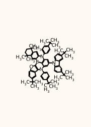 CC(C)(C)c1ccc(N2c3cc4c(cc3B3c5oc6ccc(C(C)(C)C)cc6c5N(c5ccc(C(C)(C)C)cc5)c5cc(-n6c7ccc(C(C)(C)C)cc7c7cc(C(C)(C)C)ccc76)cc2c53)C(C)(C)CCC4(C)C)cc1